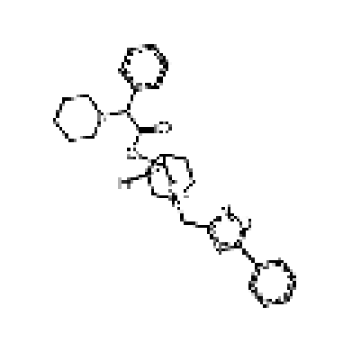 O=C(O[C@H]1C[N+]2(Cc3noc(-c4ccccc4)n3)CCC1CC2)C(c1ccccc1)N1CCCCC1